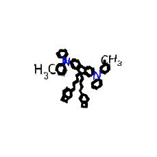 Cc1cccc(N(c2ccccc2)c2ccc3c(c2)C(CCCCc2ccc4c(c2)CC4)(CCCCc2ccc4c(c2)CC4)c2cc(N(C4=CC(C)CC=C4)c4ccccc4)ccc2-3)c1